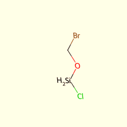 Cl[SiH2]OCBr